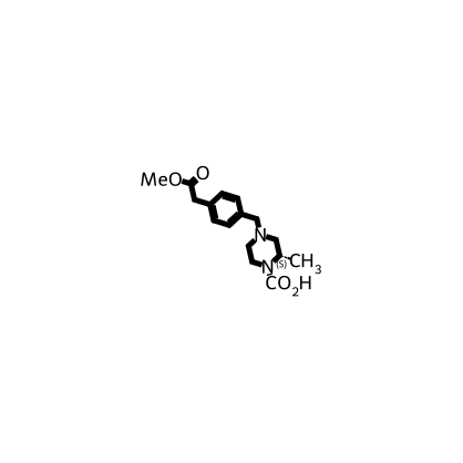 COC(=O)Cc1ccc(CN2CCN(C(=O)O)[C@@H](C)C2)cc1